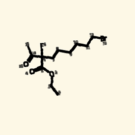 CCOC(=O)C(F)(CCCCCCBr)C(C)=O